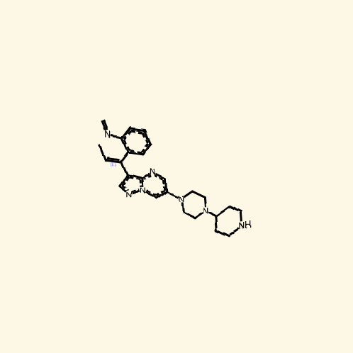 C=Nc1ccccc1/C(=C\C)c1cnn2cc(N3CCN(C4CCNCC4)CC3)cnc12